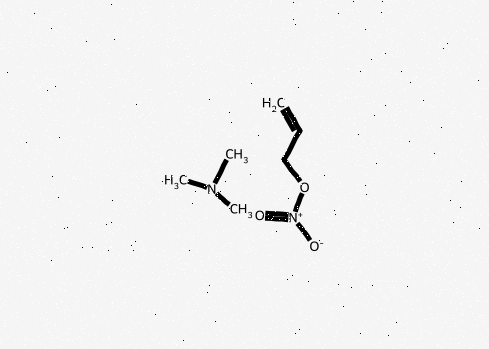 C=CCO[N+](=O)[O-].CN(C)C